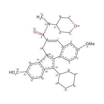 COc1ccc2c(c1)C=C(C(=O)N(C)C1CCOCC1)Cn1c-2c(C2CCCCC2)c2ccc(C(=O)O)cc21